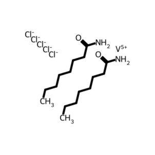 CCCCCCCC(N)=O.CCCCCCCC(N)=O.[Cl-].[Cl-].[Cl-].[Cl-].[Cl-].[V+5]